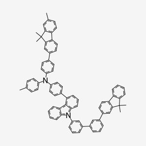 Cc1ccc(N(c2ccc(-c3ccc4c(c3)C(C)(C)c3cc(C)ccc3-4)cc2)c2ccc(-c3cccc4c3c3ccccc3n4-c3cccc(-c4cccc(-c5ccc6c(c5)C(C)(C)c5ccccc5-6)c4)c3)cc2)cc1